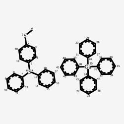 CSc1ccc([S+](c2ccccc2)c2ccccc2)cc1.c1cc[c]([Ga-]([c]2ccccc2)([c]2ccccc2)[c]2ccccc2)cc1